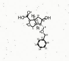 O=C(O)C1OC[C@@H]2[C@@H](COCc3ccccc3)[C@H](O)C[C@H]12